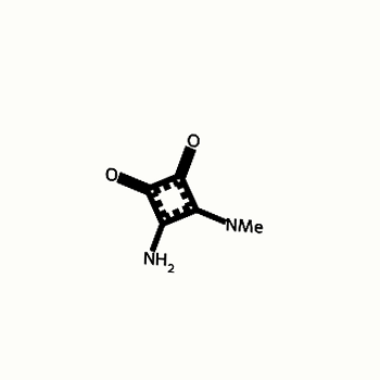 CNc1c(N)c(=O)c1=O